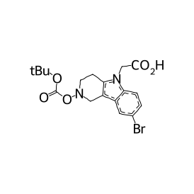 CC(C)(C)OC(=O)ON1CCc2c(c3cc(Br)ccc3n2CC(=O)O)C1